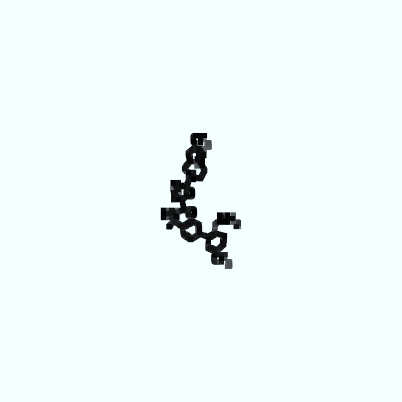 C[C@@H](NC(=O)c1nnc(N2CCn3nc(C(F)(F)F)cc3C2)o1)c1ccc(-c2cc(C(F)(F)F)ccc2CN)cc1